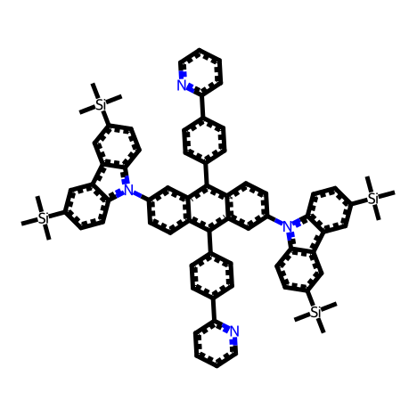 C[Si](C)(C)c1ccc2c(c1)c1cc([Si](C)(C)C)ccc1n2-c1ccc2c(-c3ccc(-c4ccccn4)cc3)c3cc(-n4c5ccc([Si](C)(C)C)cc5c5cc([Si](C)(C)C)ccc54)ccc3c(-c3ccc(-c4ccccn4)cc3)c2c1